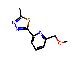 COCc1cccc(-c2nnc(C)s2)n1